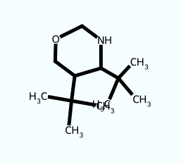 CC(C)(C)C1COCNC1C(C)(C)C